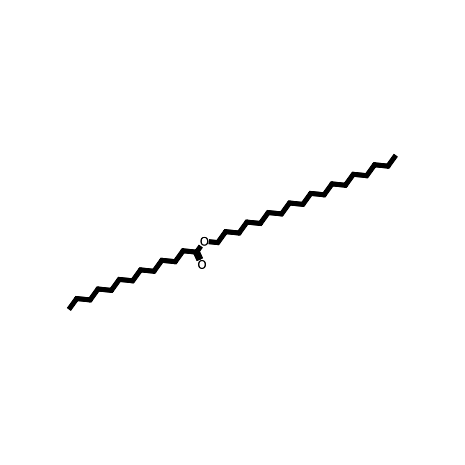 CCCCCCCCCCCCCCCCCCOC(=O)CCCCCCCCCCCC